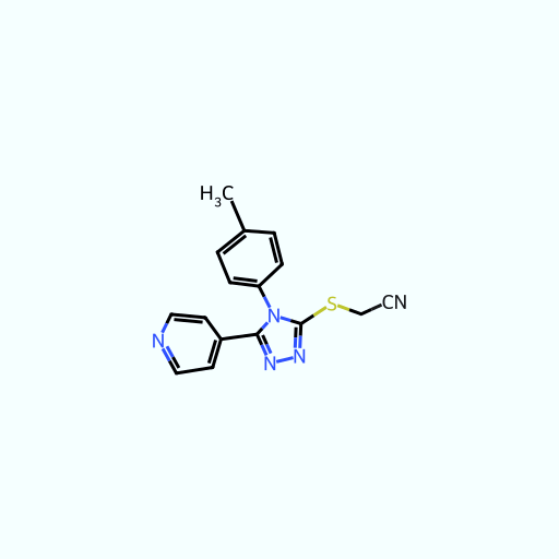 Cc1ccc(-n2c(SCC#N)nnc2-c2ccncc2)cc1